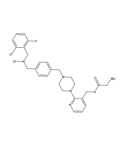 CCN(Cc1ccc(CN2CCN(c3ncccc3COC(=O)CC(C)(C)C)CC2)cc1)Cc1c(F)cccc1Cl